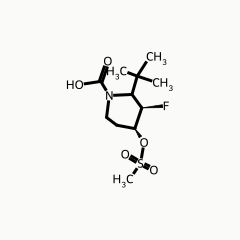 CC(C)(C)C1[C@@H](F)[C@@H](OS(C)(=O)=O)CCN1C(=O)O